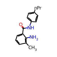 CCCc1ccc(NC(=O)c2cccc(C)c2N)cc1